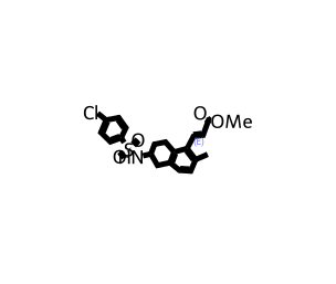 COC(=O)/C=C/c1c(C)ccc2c1CCC(NS(=O)(=O)c1ccc(Cl)cc1)C2